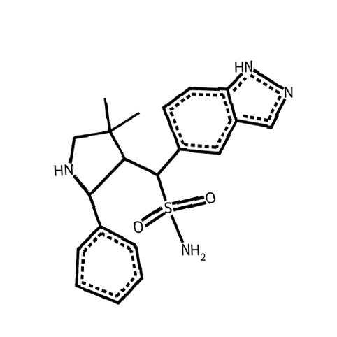 CC1(C)CNC(c2ccccc2)C1C(c1ccc2[nH]ncc2c1)S(N)(=O)=O